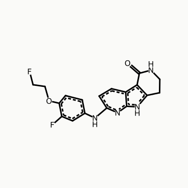 O=C1NCCc2[nH]c3nc(Nc4ccc(OCCF)c(F)c4)ccc3c21